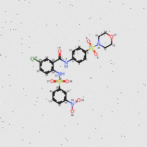 O=C(Nc1ccc(S(=O)(=O)N2CCOCC2)cc1)c1cc(Cl)ccc1NS(=O)(=O)c1cccc([N+](=O)[O-])c1